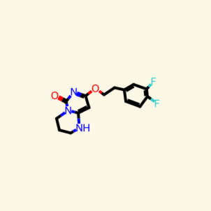 O=c1nc(OCCc2ccc(F)c(F)c2)cc2n1CCCN2